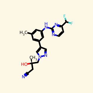 Cc1cc(Nc2nccc(C(F)F)n2)cc(-c2cnn(C[C@@](C)(O)CC#N)c2)c1